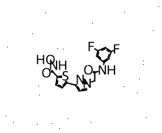 O=C(Cn1ccc(-c2ccc(C(=O)NO)s2)n1)Nc1cc(F)cc(F)c1